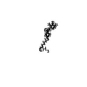 CCCCCCCCSc1ccc(C(=O)/C=C/c2ccc(I)c(I)c2I)cc1